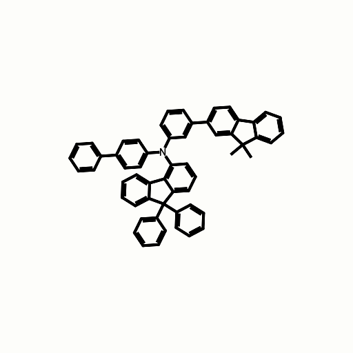 CC1(C)c2ccccc2-c2ccc(-c3cccc(N(c4ccc(-c5ccccc5)cc4)c4cccc5c4-c4ccccc4C5(c4ccccc4)c4ccccc4)c3)cc21